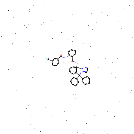 O=C(Nc1ccccc1C(=O)NCc1nccn1C(c1ccccc1)(c1ccccc1)c1ccccc1)c1cccc(C(F)(F)F)c1